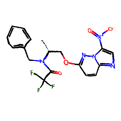 C[C@H](COc1ccc2ncc([N+](=O)[O-])n2n1)N(Cc1ccccc1)C(=O)C(F)(F)F